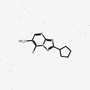 O=C(O)c1cnc2nc(C3CCCC3)nn2c1[S]